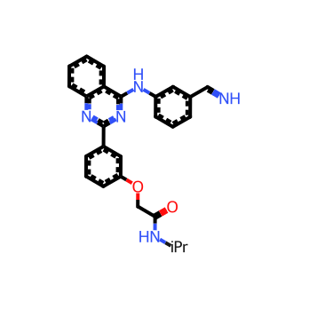 CC(C)NC(=O)COc1cccc(-c2nc(Nc3cccc(C=N)c3)c3ccccc3n2)c1